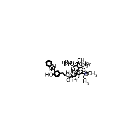 C/C=C(\C)CCC(C)(CC(C)(C(=O)OCCc1ccc(O)c(-n2nc3ccccc3n2)c1)C(C)C)C(C)(CC)C(C(=O)OC(C)C)C(C(=O)OC(C)C)C(C)(C)CCCCC